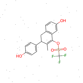 CC1=C(OS(=O)(=O)C(F)(F)F)c2cc(O)ccc2CC1c1ccc(O)cc1